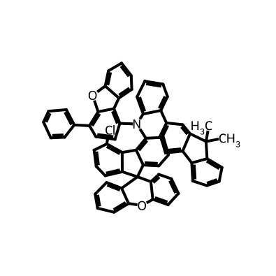 CC1(C)c2ccccc2-c2ccc(-c3ccccc3N(c3cccc4c3-c3c(Cl)cccc3C43c4ccccc4Oc4ccccc43)c3ccc(-c4ccccc4)c4oc5ccccc5c34)cc21